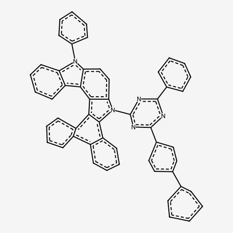 c1ccc(-c2ccc(-c3nc(-c4ccccc4)nc(-n4c5ccc6c(c7ccccc7n6-c6ccccc6)c5c5c6ccccc6c6ccccc6c54)n3)cc2)cc1